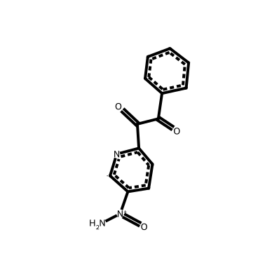 N[N+](=O)c1[c]nc(C(=O)C(=O)c2ccccc2)cc1